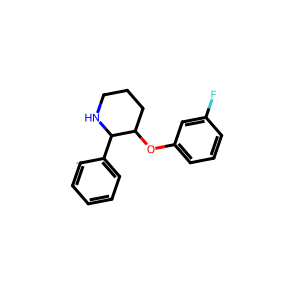 Fc1cccc(OC2CCCNC2c2[c]cccc2)c1